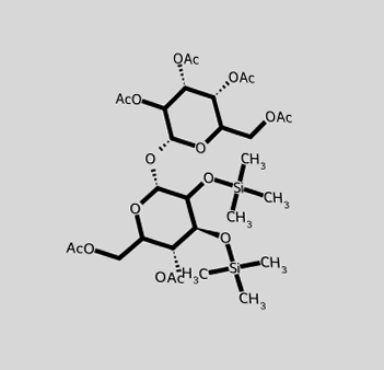 CC(=O)OCC1O[C@H](O[C@H]2OC(COC(C)=O)[C@@H](OC(C)=O)[C@@H](OC(C)=O)C2OC(C)=O)C(O[Si](C)(C)C)[C@@H](O[Si](C)(C)C)[C@@H]1OC(C)=O